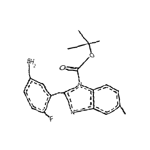 Bc1ccc(F)c(-c2nc3cc(C)ccc3n2C(=O)OC(C)(C)C)c1